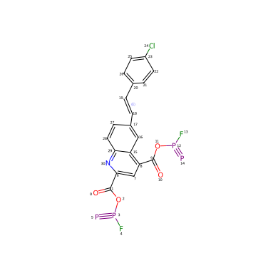 O=C(OP(F)#P)c1cc(C(=O)OP(F)#P)c2cc(/C=C/c3ccc(Cl)cc3)ccc2n1